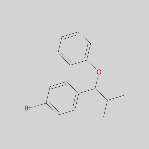 CC(C)C(Oc1ccccc1)c1ccc(Br)cc1